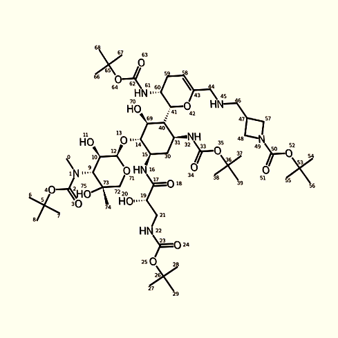 CN(C(=O)OC(C)(C)C)[C@@H]1[C@@H](O)[C@@H](O[C@H]2[C@H](NC(=O)[C@@H](O)CNC(=O)OC(C)(C)C)C[C@H](NC(=O)OC(C)(C)C)C([C@H]3OC(CNCC4CN(C(=O)OC(C)(C)C)C4)=CC[C@H]3NC(=O)OC(C)(C)C)[C@@H]2O)OC[C@]1(C)O